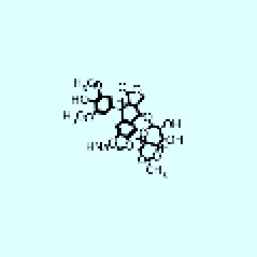 COc1cc([C@@H]2c3cc4c(cc3C(O[C@@H]3O[C@@H]5CO[C@@H](C)O[C@H]5[C@H](O)[C@H]3O)C3COC(=O)[C@@H]32)OCO4)cc(OC)c1O.[NaH]